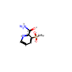 CCCCS(=O)(=O)c1cccnc1C(N)=O